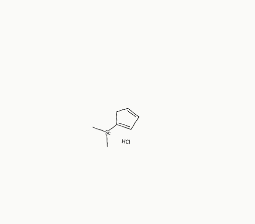 Cl.[CH3][Sc]([CH3])[C]1=CC=CC1